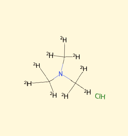 Cl.[2H]C([2H])([2H])N(C([2H])([2H])[2H])C([2H])([2H])[2H]